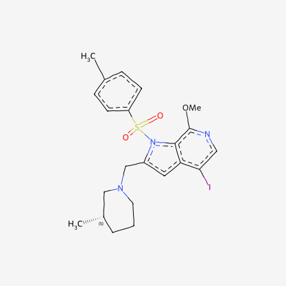 COc1ncc(I)c2cc(CN3CCC[C@H](C)C3)n(S(=O)(=O)c3ccc(C)cc3)c12